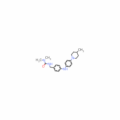 CC1CCN(c2ccc(Nc3ccc(CNC(=O)N(C)C)cc3)cc2)CC1